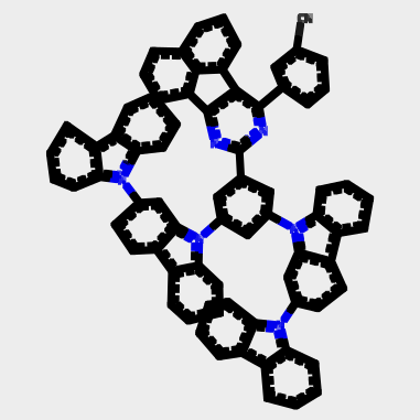 N#Cc1cccc(-c2nc(-c3cc(-n4c5ccccc5c5ccc(-n6c7ccccc7c7ccccc76)cc54)cc(-n4c5ccccc5c5ccc(-n6c7ccccc7c7ccccc76)cc54)c3)nc3c2-c2cccc4cccc-3c24)c1